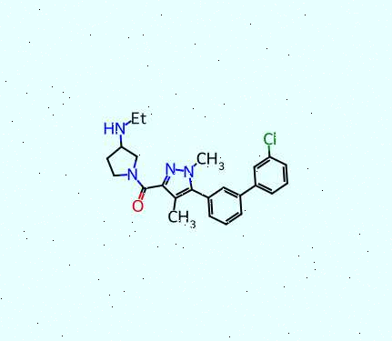 CCNC1CCN(C(=O)c2nn(C)c(-c3cccc(-c4cccc(Cl)c4)c3)c2C)C1